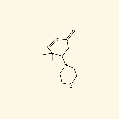 CC1(C)C=CC(=O)CC1N1CCNCC1